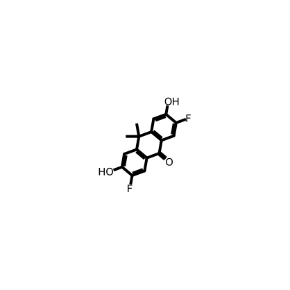 CC1(C)c2cc(O)c(F)cc2C(=O)c2cc(F)c(O)cc21